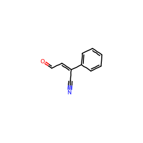 N#CC(=CC=O)c1ccccc1